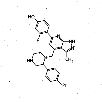 Cc1n[nH]c2nc(-c3ccc(O)cc3F)cc(CN3CCNCC3c3ccc(C(C)C)cc3)c12